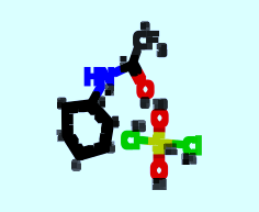 O=C(Nc1ccccc1)C(F)(F)F.O=S(=O)(Cl)Cl